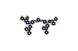 C(=C(c1ccccc1)c1ccccc1)c1ccc(N(c2ccc(C=C(c3ccccc3)c3ccccc3)cc2)c2ccc(/C=C/c3cccc(/C=C/c4ccc(N(c5ccc(C=C(c6ccccc6)c6ccccc6)cc5)c5ccc(C=C(c6ccccc6)c6ccccc6)cc5)cc4)c3)cc2)cc1